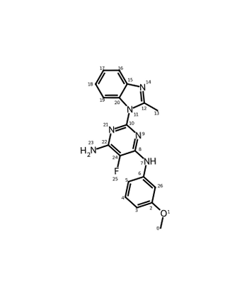 COc1cccc(Nc2nc(-n3c(C)nc4ccccc43)nc(N)c2F)c1